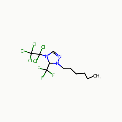 CCCCCCN1N=CN(C(Cl)(Cl)C(Cl)(Cl)Cl)C1C(F)(F)F